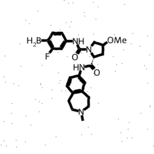 Bc1ccc(NC(=O)N2CC(OC)C[C@@H]2C(=O)Nc2ccc3c(c2)CCN(C)CC3)cc1F